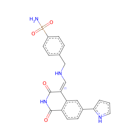 NS(=O)(=O)c1ccc(CN/C=C2\C(=O)NC(=O)c3ccc(-c4ccc[nH]4)cc32)cc1